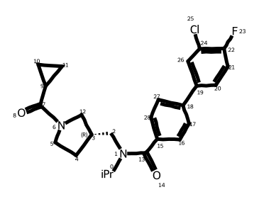 CC(C)N(C[C@@H]1CCN(C(=O)C2CC2)C1)C(=O)c1ccc(-c2ccc(F)c(Cl)c2)cc1